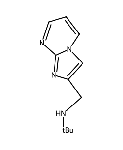 CC(C)(C)NCc1cn2cccnc2n1